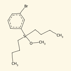 CCCC[Si](CCCC)(OC)c1cccc(Br)c1